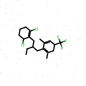 CCC(CC1=C(C)CC(C(F)(F)F)C=C1C)CC1=C(Cl)CCCC1Cl